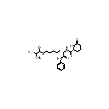 CC(C)C(=O)SCCCCC[C@H](NC(=O)[C@@H]1CCCC(=O)N1)C(=O)Nc1ccccc1